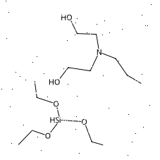 CCCN(CCO)CCO.CCO[SiH](OCC)OCC